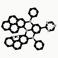 c1ccc(N2c3cc(-c4ncncn4)cc4c3B(c3c2cc2ccc5cccc6ccc3c2c56)c2c(cc3ccc5cccc6ccc2c3c56)N4c2ccccc2)cc1